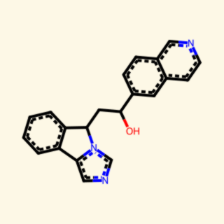 OC(CC1c2ccccc2-c2cncn21)c1ccc2cnccc2c1